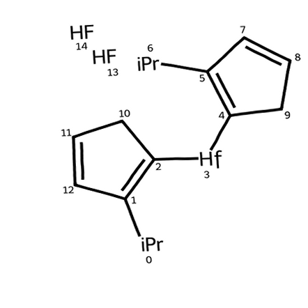 CC(C)C1=[C]([Hf][C]2=C(C(C)C)C=CC2)CC=C1.F.F